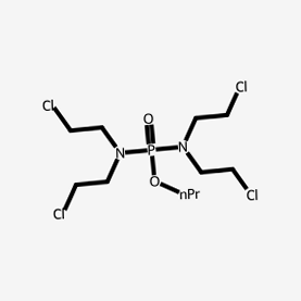 CCCOP(=O)(N(CCCl)CCCl)N(CCCl)CCCl